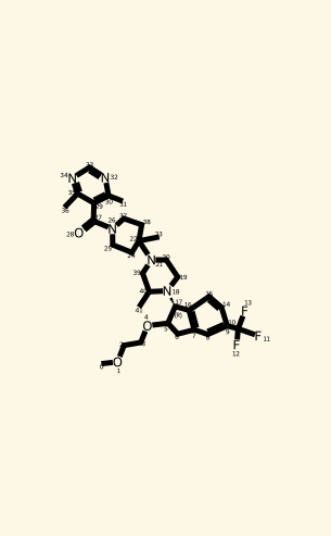 COCCOC1Cc2cc(C(F)(F)F)ccc2[C@H]1N1CCN(C2(C)CCN(C(=O)c3c(C)ncnc3C)CC2)CC1C